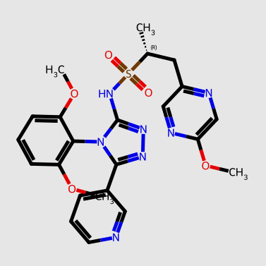 COc1cnc(C[C@@H](C)S(=O)(=O)Nc2nnc(-c3cccnc3)n2-c2c(OC)cccc2OC)cn1